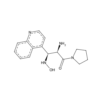 N[C@@H](C(=O)N1CCCC1)[C@@H](NO)c1ccnc2ccccc12